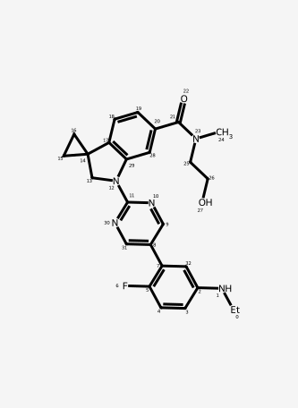 CCNc1ccc(F)c(-c2cnc(N3CC4(CC4)c4ccc(C(=O)N(C)CCO)cc43)nc2)c1